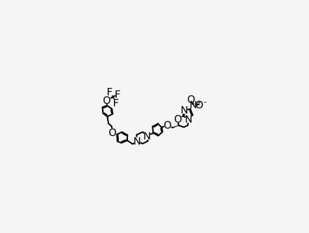 O=[N+]([O-])c1cn2c(n1)O[C@H](COc1ccc(N3CCN(Cc4ccc(OCCc5ccc(OC(F)(F)F)cc5)cc4)CC3)cc1)CC2